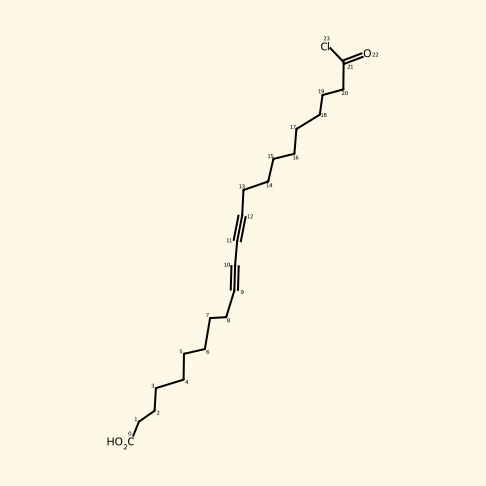 O=C(O)CCCCCCCCC#CC#CCCCCCCCCC(=O)Cl